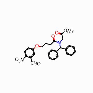 COC(=O)CN(C(=O)CCCOc1ccc([N+](=O)[O-])c(C=O)c1)C(c1ccccc1)c1ccccc1